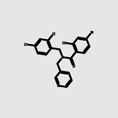 O=C(c1ccc(Br)cc1Cl)N(Cc1cccnc1)Cc1ccc(Cl)cc1Cl